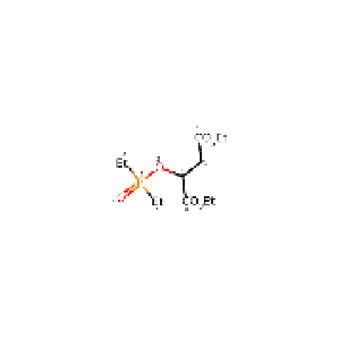 CCOC(=O)CC(OP(=O)(CC)CC)C(=O)OCC